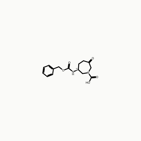 O=C1CC[C@H](NC(=O)OCc2ccccc2)CN(C(=O)O)C1